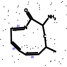 CC1\C=C/C=C\C=N\C(=O)C(N)C1